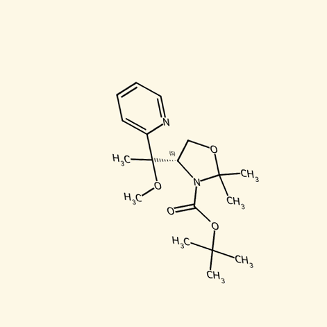 COC(C)(c1ccccn1)[C@@H]1COC(C)(C)N1C(=O)OC(C)(C)C